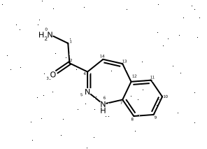 NCC(=O)C1=NNc2ccccc2C=C1